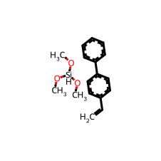 C=Cc1ccc(-c2ccccc2)cc1.CO[SiH](OC)OC